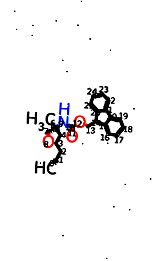 C#CCCC[C@](C)(C=O)NC(=O)OCC1c2ccccc2-c2ccccc21